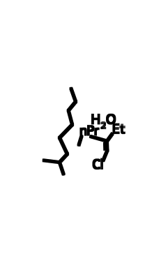 CCC(C)=CCl.CCCC.CCCCCCC(C)C.O